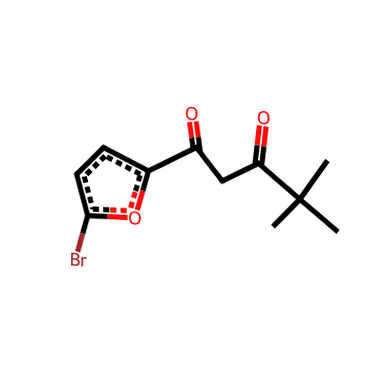 CC(C)(C)C(=O)CC(=O)c1ccc(Br)o1